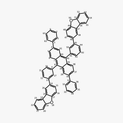 c1ccc(-c2ccc3c(-c4cccc(-c5ccc6oc7ccccc7c6c5)c4)c4cc(-c5ccccc5)ccc4c(-c4cccc(-c5ccc6oc7ccccc7c6c5)c4)c3c2)cc1